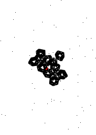 c1ccc(-n2c3ccc([Si]4(c5ccccc5)c5ccccc5-c5ccccc54)nc3c3nc([Si]4(c5ccccc5)c5ccccc5-c5ccccc54)ccc32)cc1